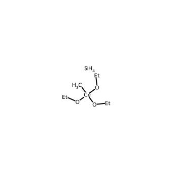 CC[O][Ge]([CH3])([O]CC)[O]CC.[SiH4]